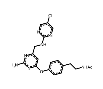 CC(=O)NCCc1ccc(Oc2cc(CNc3ncc(Cl)cn3)nc(N)n2)cc1